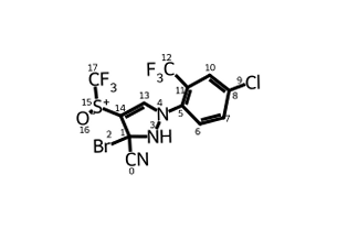 N#CC1(Br)NN(c2ccc(Cl)cc2C(F)(F)F)C=C1[S+]([O-])C(F)(F)F